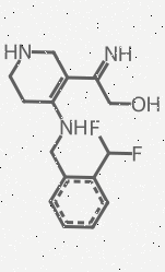 N=C(CO)C1=C(NCc2ccccc2C(F)F)CCNC1